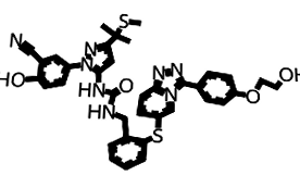 CSC(C)(C)c1cc(NC(=O)NCc2ccccc2Sc2ccc3nnc(-c4ccc(OCCO)cc4)n3c2)n(-c2ccc(O)c(C#N)c2)n1